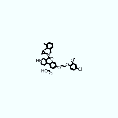 COc1cc(Cl)ccc1OCCOc1ccc(C2=C(C(=O)N(Cc3cccc(C)c3C)C3CC3)CNCC2)cc1.O=CO